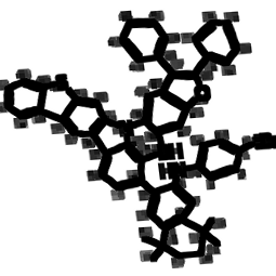 CC(C)(C)c1ccc(Nc2cc3c(cc2-c2ccc4c5cc6c(cc5n5c4c2Bc2cc4oc(-c7ccccc7)c(-c7ccccc7)c4cc2-5)sc2ccccc26)C(C)(C)CCC3(C)C)cc1